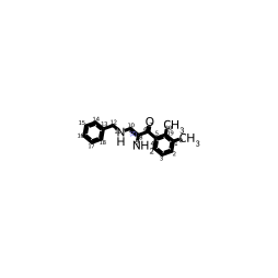 Cc1cccc(C(=O)/C(N)=C/NCc2ccccc2)c1C